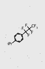 C[C](C)c1ccc(C(F)(F)C(F)(F)C(F)(F)F)cc1